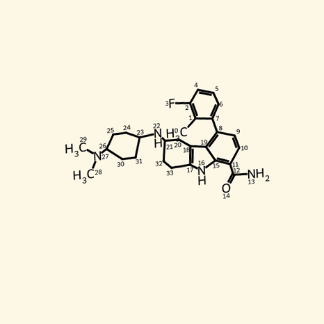 Cc1c(F)cccc1-c1ccc(C(N)=O)c2[nH]c3c(c12)CC(NC1CCC(N(C)C)CC1)CC3